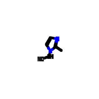 Cc1nccn1BC#N